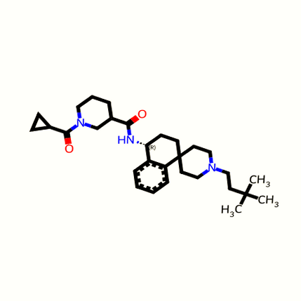 CC(C)(C)CCN1CCC2(CC[C@@H](NC(=O)C3CCCN(C(=O)C4CC4)C3)c3ccccc32)CC1